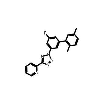 Cc1ccc(C)c(-c2cc(F)cc(-n3nnc(-c4ccccn4)n3)c2)c1